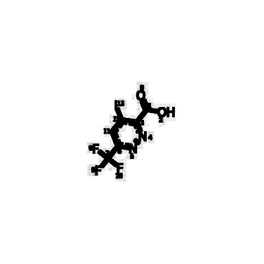 O=C(O)c1nnc(C(F)(F)F)cc1I